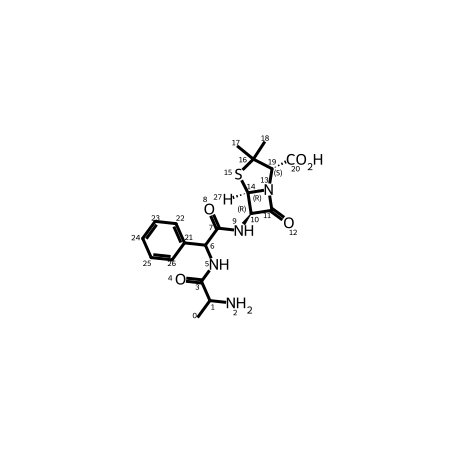 CC(N)C(=O)NC(C(=O)N[C@@H]1C(=O)N2[C@@H]1SC(C)(C)[C@@H]2C(=O)O)c1ccccc1